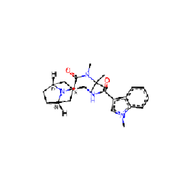 CN(C(=O)CN1[C@@H]2CC[C@H]1C[C@H](CNC(=O)c1cn(C)c3ccccc13)C2)C(C)(C)C